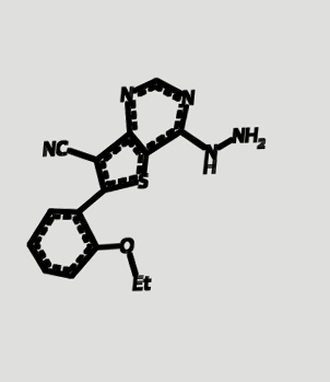 CCOc1ccccc1-c1sc2c(NN)ncnc2c1C#N